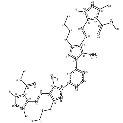 CCCCc1nn(-c2cc(-n3nc(CCCC)c(/N=N/c4c(C(=O)OC)c(C)nn4C)c3N)ncn2)c(N)c1/N=N/c1c(C(=O)OC)c(C)nn1C